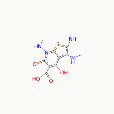 CNc1sc2c(c(O)c(C(=O)O)c(=O)n2NC)c1NC